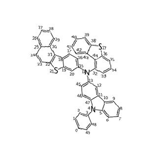 c1ccc(-n2c3ccccc3c3cc(N(c4ccc5c(c4)sc4ccc6ccccc6c45)c4cccc5sc6ccccc6c45)ccc32)cc1